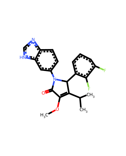 COC1=C(C(C)C)C(c2cccc(F)c2F)N(c2ccc3nc[nH]c3c2)C1=O